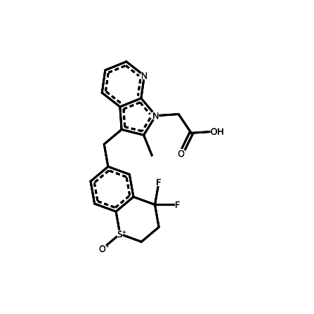 Cc1c(Cc2ccc3c(c2)C(F)(F)CC[S+]3[O-])c2cccnc2n1CC(=O)O